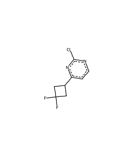 FC1(F)CC(c2ccnc(Cl)n2)C1